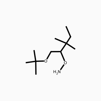 CCC(C)(C)C(COC(C)(C)C)ON